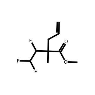 C=CCC(C)(C(=O)OC)C(F)C(F)F